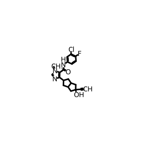 C#CC1(O)CC2CC(c3ncn(C)c3C(=O)Nc3ccc(F)c(Cl)c3)CC2C1